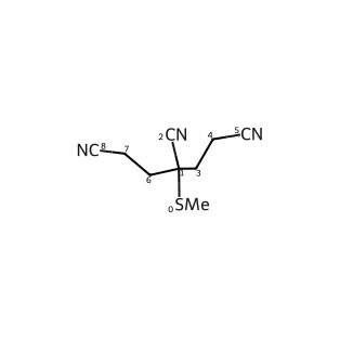 CSC(C#N)(CCC#N)CCC#N